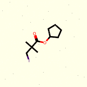 CC(C)(CI)C(=O)OC1CCCC1